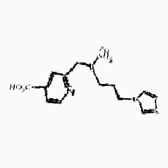 CN(CCCn1ccnc1)Cc1cc(C(=O)O)ccn1